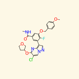 CNC(=O)c1cc(OCc2ccc(OC)cc2)c(F)c(-c2cnn3cc(Cl)c(O[C@H]4CCOC4)nc23)c1